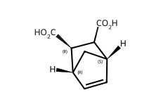 O=C(O)C1[C@@H]2C=C[C@@H](C2)[C@H]1C(=O)O